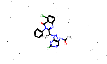 CC(=O)Nc1cnc(Cl)nc1N[C@@H](C)c1nc2cccc(Cl)c2c(=O)n1-c1ccccc1